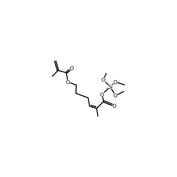 C=C(C)C(=O)OCCCC=C(C)C(=O)O[Si](OC)(OC)OC